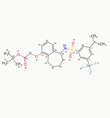 CC(C)c1cc(C(F)(F)F)cc(S(=O)(=O)NC2CCCCc3c(OCC(=O)OC(C)(C)C)cccc32)c1